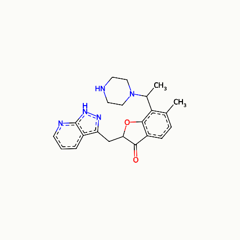 Cc1ccc2c(c1C(C)N1CCNCC1)OC(Cc1n[nH]c3ncccc13)C2=O